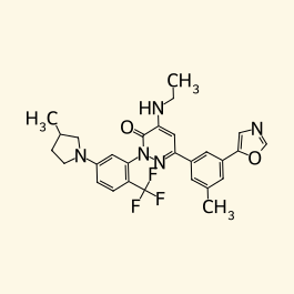 CCNc1cc(-c2cc(C)cc(-c3cnco3)c2)nn(-c2cc(N3CCC(C)C3)ccc2C(F)(F)F)c1=O